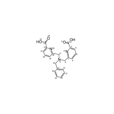 O=C(O)c1cccc(CN(Cc2ccccc2)Cc2cccc(C(=O)O)n2)n1